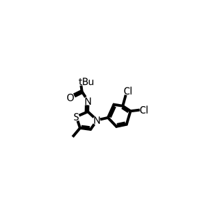 Cc1cn(-c2ccc(Cl)c(Cl)c2)/c(=N/C(=O)C(C)(C)C)s1